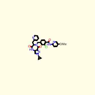 COc1ccc(NC(=O)c2ccc(CN3C(=O)c4nn(C5CC5)cc4NC(=O)C3Cc3ccccn3)cc2Cl)nc1